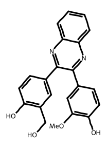 COc1cc(-c2nc3ccccc3nc2-c2ccc(O)c(CO)c2)ccc1O